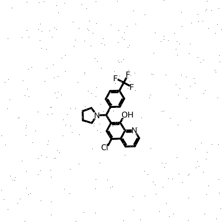 Oc1c(C(c2ccc(C(F)(F)F)cc2)N2CCCC2)cc(Cl)c2cccnc12